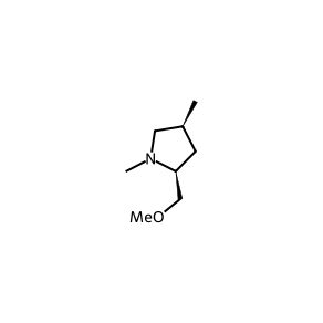 COC[C@@H]1C[C@H](C)CN1C